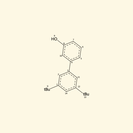 CC(C)(C)c1cc(-c2cccc(O)c2)cc(C(C)(C)C)c1